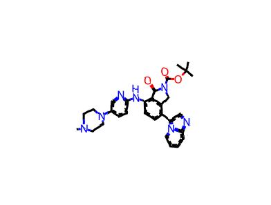 CN1CCN(c2ccc(Nc3ccc(-c4cnc5ccccn45)c4c3C(=O)N(C(=O)OC(C)(C)C)C4)nc2)CC1